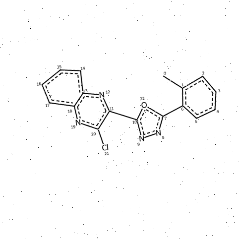 Cc1ccccc1-c1nnc(-c2nc3ccccc3nc2Cl)o1